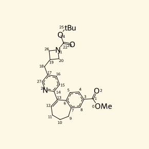 COC(=O)c1ccc2c(c1)CCCC=C2c1ccc(CC2CN(C(=O)OC(C)(C)C)C2)cn1